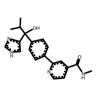 CNC(=O)c1ccnc(-c2ccc(C(O)(c3c[nH]cn3)C(C)C)cc2)c1